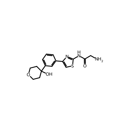 NCC(=O)Nc1nc(-c2cccc(C3(O)CCOCC3)c2)cs1